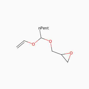 C=COC(CCCCC)OCC1CO1